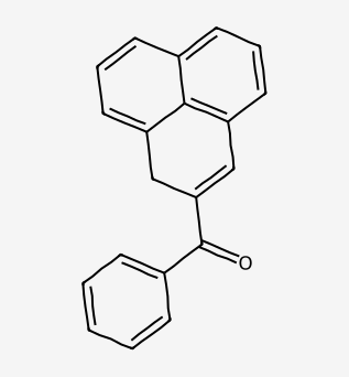 O=C(C1=Cc2cccc3cccc(c23)C1)c1ccccc1